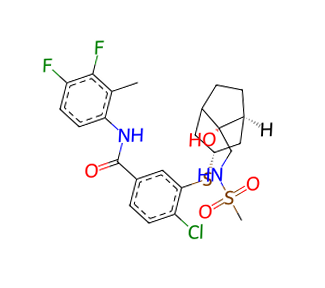 Cc1c(NC(=O)c2ccc(Cl)c(S[C@@H]3CC4CC[C@@H](C3)[C@@]4(O)CNS(C)(=O)=O)c2)ccc(F)c1F